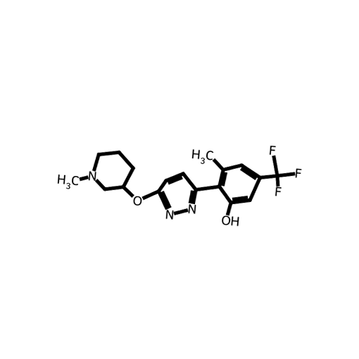 Cc1cc(C(F)(F)F)cc(O)c1-c1ccc(OC2CCCN(C)C2)nn1